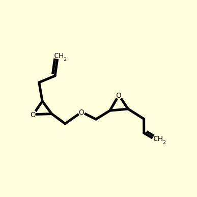 C=CCC1OC1COCC1OC1CC=C